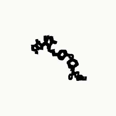 Cc1cnc(-c2cc3sccc3n2C)n1CCCc1ccc(OC2CCN(C(=O)OC(C)(C)C)CC2)cc1